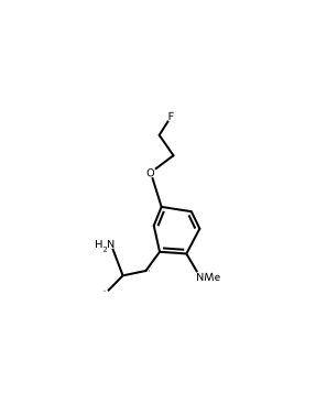 [CH2]C(N)[CH]c1cc(OCCF)ccc1NC